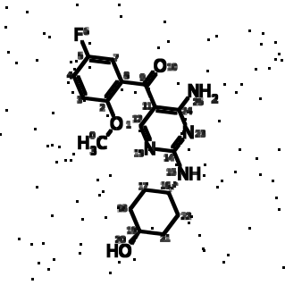 COc1ccc(F)cc1C(=O)c1cnc(N[C@H]2CC[C@H](O)CC2)nc1N